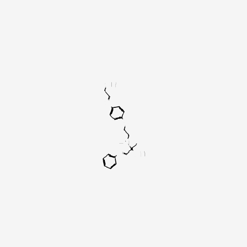 CC(O)(COc1ccccc1)NCCOc1ccc(OCCO)cc1